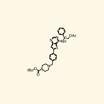 CC(=O)OC[C@@H](Nc1ncnc2cc(-c3ccc(CN4CCN(C(=O)OC(C)(C)C)CC4)cc3)sc12)c1ccccc1